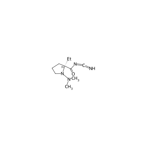 CC[C@@]1(C(=O)N=C=N)CCCN1N(C)C